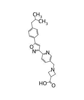 CC(C)Cc1ccc(-c2cc(-c3ccc(CN4CC(C(=O)O)C4)cn3)no2)cc1